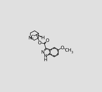 COc1ccc2[nH]nc(C(=O)O[C@@H]3CN4CCC3CC4)c2c1